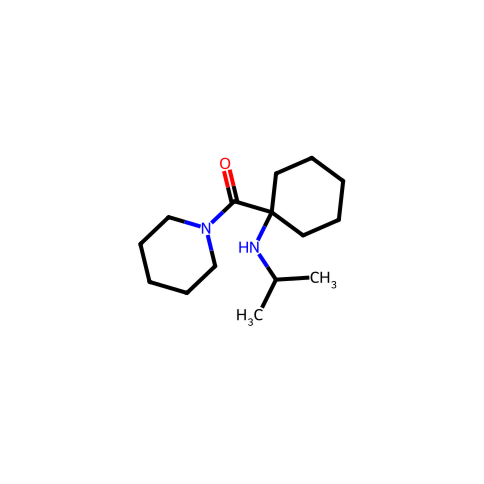 CC(C)NC1(C(=O)N2CCCCC2)CCCCC1